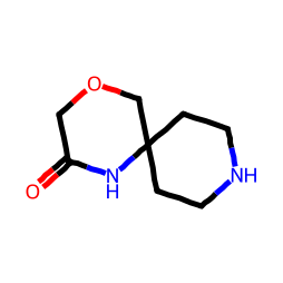 O=C1COCC2(CCNCC2)N1